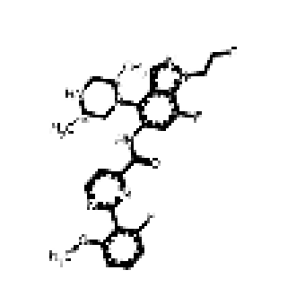 COc1cccc(F)c1-c1nccc(C(=O)Nc2cc(F)c3c(cnn3CCF)c2N2C[C@H](C)NC[C@@H]2C)n1